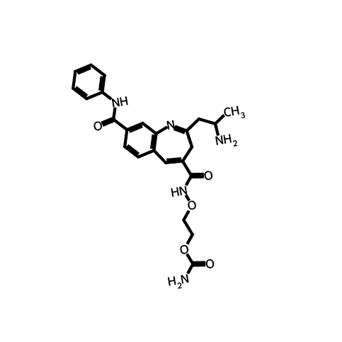 CC(N)CC1=Nc2cc(C(=O)Nc3ccccc3)ccc2C=C(C(=O)NOCCOC(N)=O)C1